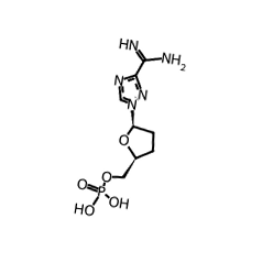 N=C(N)c1ncn([C@H]2CC[C@@H](COP(=O)(O)O)O2)n1